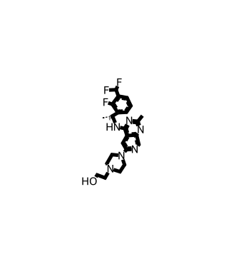 Cc1nc(N[C@H](C)c2cccc(C(F)F)c2F)c2cc(N3CCN(CCO)CC3)ncc2n1